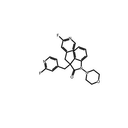 O=C1N(N2CCOCC2)c2ccccc2C1(Cc1ccnc(F)c1)Cc1ccnc(F)c1